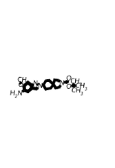 COc1cc2nn(C3CCC4(CC3)CCN(C(=O)OC(C)(C)C)CC4)cc2cc1N